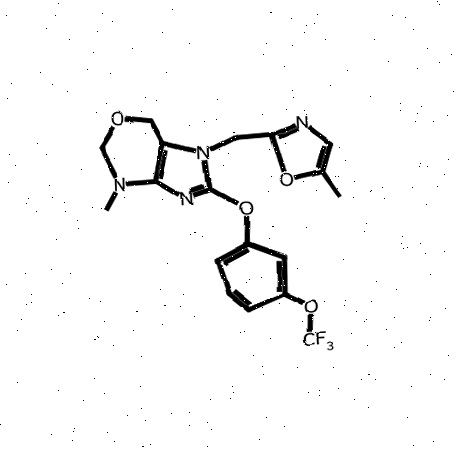 Cc1cnc(Cn2c(Oc3cccc(OC(F)(F)F)c3)nc3c2COCN3C)o1